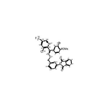 COc1ccc(/C(=N\OCc2cccc(N3C(=O)c4ccccc4C3=O)n2)c2ncc(C(F)(F)F)cc2Cl)cc1Br